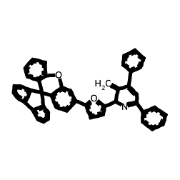 C=C1C(c2ccccc2)=CC(c2ccccc2)=NC1c1ccc(-c2ccc3c(c2)Oc2ccccc2C32c3ccccc3-c3ccccc32)o1